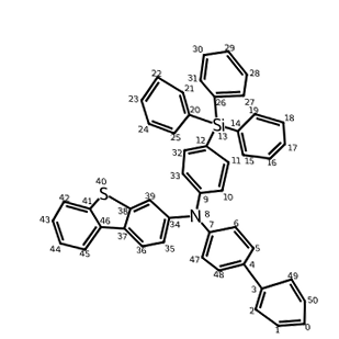 c1ccc(-c2ccc(N(c3ccc([Si](c4ccccc4)(c4ccccc4)c4ccccc4)cc3)c3ccc4c(c3)sc3ccccc34)cc2)cc1